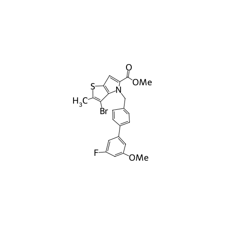 COC(=O)c1cc2sc(C)c(Br)c2n1Cc1ccc(-c2cc(F)cc(OC)c2)cc1